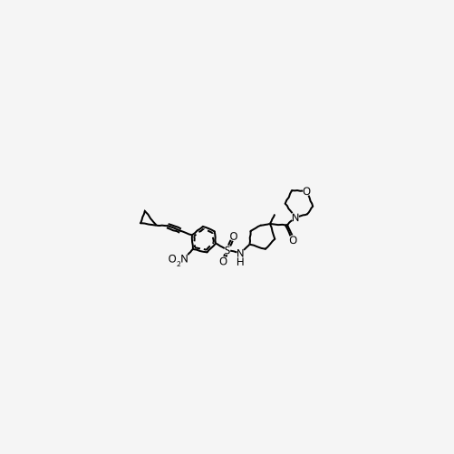 CC1(C(=O)N2CCOCC2)CCC(NS(=O)(=O)c2ccc(C#CC3CC3)c([N+](=O)[O-])c2)CC1